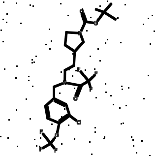 CC(C)(C)OC(=O)N1CCC(CCN(Cc2ccc(OC(F)(F)F)c(Cl)c2)C(=O)C(F)(F)F)C1